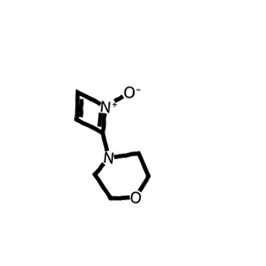 [O-][N+]1=C(N2CCOCC2)C=C1